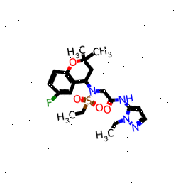 CCn1nccc1NC(=O)CN(C1CC(C)(C)Oc2ccc(F)cc21)S(=O)(=O)CC